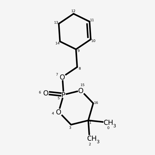 CC1(C)COP(=O)(OCC2C=CCCC2)OC1